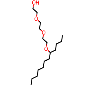 CCCCCCCC(CCCC)OCCOCCOCCO